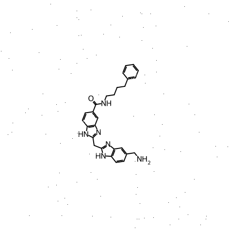 NCc1ccc2[nH]c(Cc3nc4cc(C(=O)NCCCCc5ccccc5)ccc4[nH]3)nc2c1